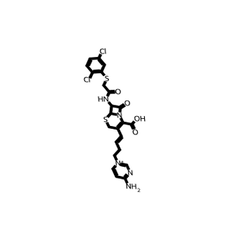 Nc1cc[n+](CCC=CC2=C(C(=O)O)N3C(=O)C(NC(=O)CSc4cc(Cl)ccc4Cl)C3SC2)cn1